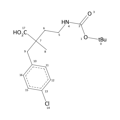 CC(C)(C)OC(=O)NCCC(C)(Cc1ccc(Cl)cc1)C(=O)O